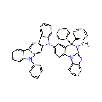 CN1c2nc3ccccc3n2-c2ccc(-n3c4ccccc4c4cc5c6ccccc6n(-c6ccccc6)c5cc43)cc2C1(c1ccccc1)c1ccccc1